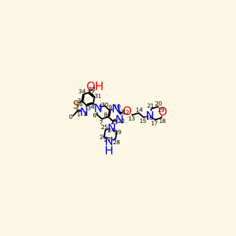 Cc1nc2c(N3CCc4c(nc(OCCCN5CCOCC5)nc4N4CCNCC4)C3)cc(O)cc2s1